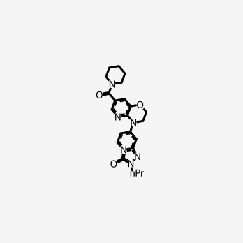 CCCn1nc2cc(N3CCOc4cc(C(=O)N5CCCCC5)cnc43)ccn2c1=O